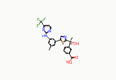 Cc1cc(Nc2nccc(C(F)(F)F)n2)cc(-c2cnc([C@](C)(O)c3cccc(C(=O)O)c3)s2)c1